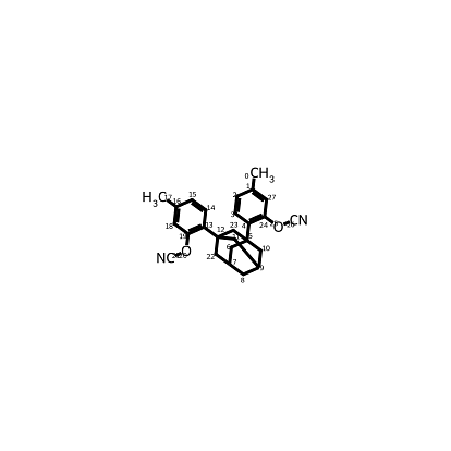 Cc1ccc(C23CC4CC(C2)CC(c2ccc(C)cc2OC#N)(C4)C3)c(OC#N)c1